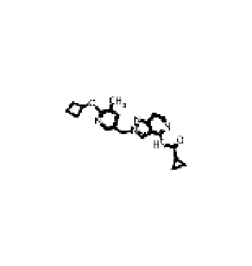 Cc1cc(Cn2cc3c(NC(=O)C4CC4)nccc3n2)cnc1OC1CCC1